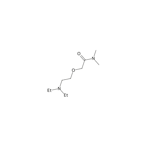 CCN(CC)CCOCC(=O)N(C)C